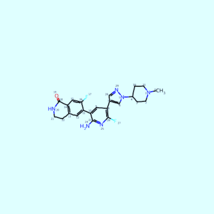 CN1CCC(n2cc(-c3cc(-c4cc5c(cc4F)C(=O)NCC5)c(N)nc3F)cn2)CC1